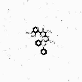 COc1ccnc(C(=O)N[C@@H](C)C(=O)O[C@@H](C)[C@@H](COc2ccccc2)Oc2ccccc2)c1OC(C)=O